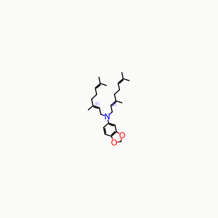 CC(C)=CCC/C(C)=C/CN(C/C=C(\C)CCC=C(C)C)c1ccc2c(c1)OCO2